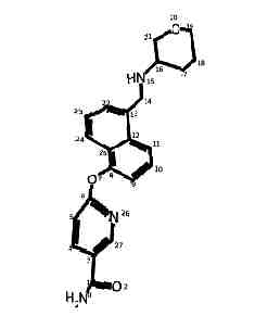 NC(=O)c1ccc(Oc2cccc3c(CNC4CCCOC4)cccc23)nc1